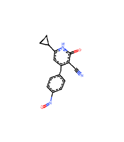 N#Cc1c(-c2ccc(N=O)cc2)cc(C2CC2)[nH]c1=O